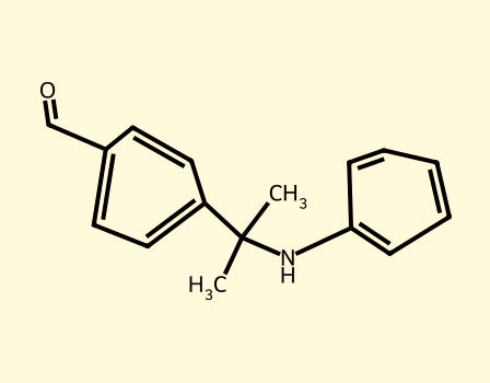 CC(C)(Nc1ccccc1)c1ccc(C=O)cc1